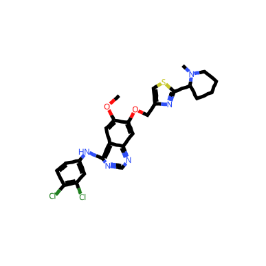 COc1cc2c(Nc3ccc(Cl)c(Cl)c3)ncnc2cc1OCc1csc(C2CCCCN2C)n1